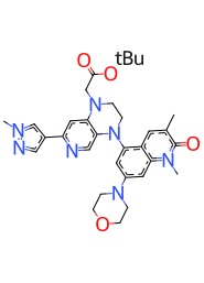 Cc1cc2c(N3CCN(CC(=O)OC(C)(C)C)c4cc(-c5cnn(C)c5)ncc43)cc(N3CCOCC3)cc2n(C)c1=O